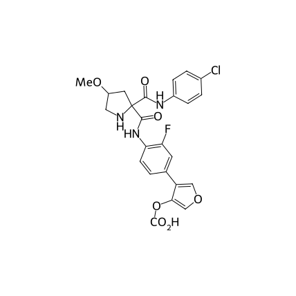 COC1CNC(C(=O)Nc2ccc(Cl)cc2)(C(=O)Nc2ccc(-c3cocc3OC(=O)O)cc2F)C1